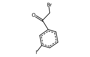 O=C(CBr)c1cccc(I)c1